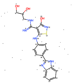 N=C(NCC(O)CO)c1c(O)nsc1Nc1ccc(-c2nc3ccccc3[nH]2)cc1